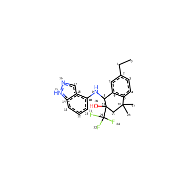 CCc1ccc2c(c1)C(Nc1cccc3[nH]ncc13)C(O)(C(F)(F)F)CC2(C)C